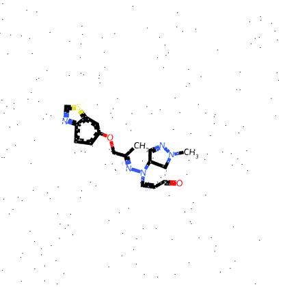 C/C(COc1ccc2ncsc2c1)=N\N(/C=C\C=O)C1C=NN(C)C1